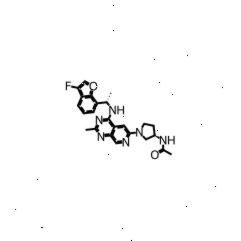 CC(=O)N[C@@H]1CCN(c2cc3c(N[C@@H](C)c4cccc5c(F)coc45)nc(C)nc3cn2)C1